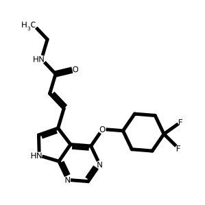 CCNC(=O)C=Cc1c[nH]c2ncnc(OC3CCC(F)(F)CC3)c12